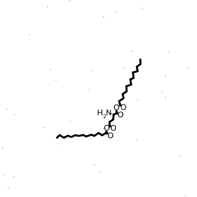 CCCCCCCCCCCCCC(=O)OC(=O)CC[C@H](N)C(=O)OC(=O)CCCCCCCCCCCCC